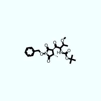 COC(C)C(NC(=O)OC(C)(C)C)C(=O)[C@@H]1C(=O)N(OCc2ccccc2)C(=O)[C@H]1C